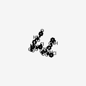 COc1ccc(CNC(=O)CC2CCN(c3ncc(S(C)(=O)=O)cc3NC(=O)c3cccc(Cl)c3)CC2)cc1.Cc1cccc(C)c1NC(=O)CC1CCN(c2ncc(S(C)(=O)=O)cc2NC(=O)c2cccc(Cl)c2)CC1